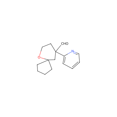 O=CC1(c2ccccn2)CCOC2(CCCC2)C1